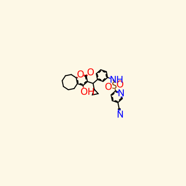 N#Cc1ccc(S(=O)(=O)Nc2cccc(C(c3c(O)c4c(oc3=O)CCCCCC4)C3CC3)c2)nc1